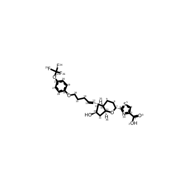 O=C(O)c1csc([C@H]2CC[C@@H]3[C@@H](/C=C/CCCOc4ccc(OC(F)(F)F)cc4)[C@H](O)C[C@@H]3O2)n1